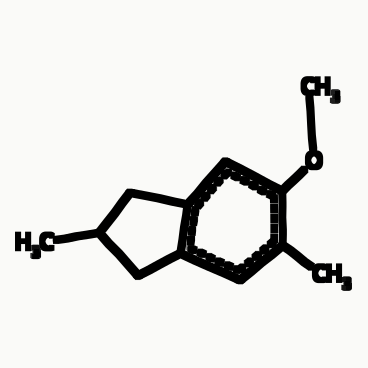 COc1cc2c(cc1C)CC(C)C2